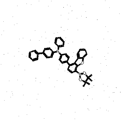 CC1(C)OB(c2ccc(-c3ccc(N(c4ccccc4)c4ccc(-c5ccccc5)cc4)cc3)c3c2oc2ccccc23)OC1(C)C